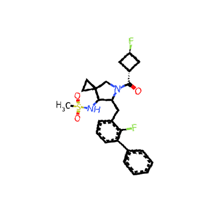 CS(=O)(=O)NC1C(Cc2cccc(-c3ccccc3)c2F)N(C(=O)[C@H]2C[C@H](F)C2)CC12CC2